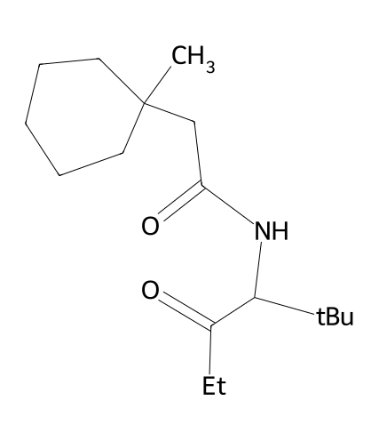 CCC(=O)C(NC(=O)CC1(C)CCCCC1)C(C)(C)C